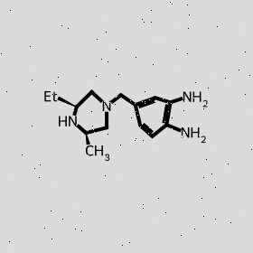 CC[C@H]1CN(Cc2ccc(N)c(N)c2)C[C@@H](C)N1